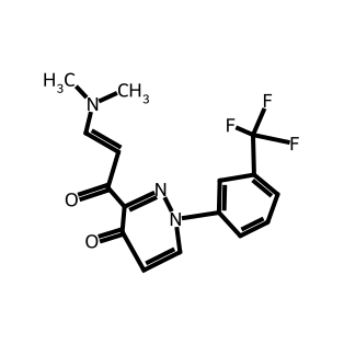 CN(C)/C=C/C(=O)c1nn(-c2cccc(C(F)(F)F)c2)ccc1=O